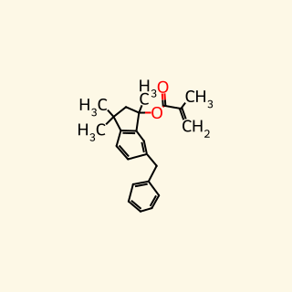 C=C(C)C(=O)OC1(C)CC(C)(C)c2ccc(Cc3ccccc3)cc21